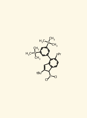 CCCc1ccc2c(c1-c1cc([Si](C)(C)C)cc([Si](C)(C)C)c1)C=C(C(C)(C)C)[CH]2[Zr]([Cl])[Cl]